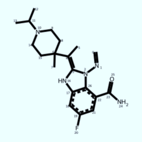 C=NN1/C(=C(\C)C2(C)CCN(C(C)C)CC2)Nc2cc(F)cc(C(N)=O)c21